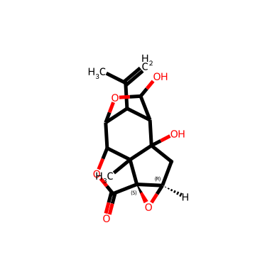 C=C(C)C1C2OC(O)C1C1(O)C[C@H]3O[C@]34C(=O)OC2C14C